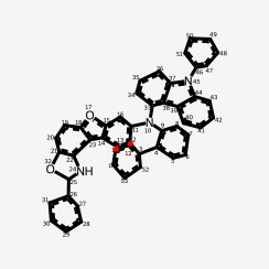 c1ccc(-c2ccccc2N(c2ccc3c(c2)oc2ccc4c(c23)NC(c2ccccc2)O4)c2cccc3c2c2ccccc2n3-c2ccccc2)cc1